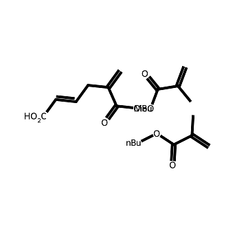 C=C(C)C(=O)OC.C=C(C)C(=O)OCCCC.C=C(CC=CC(=O)O)C(=O)OCC(C)C